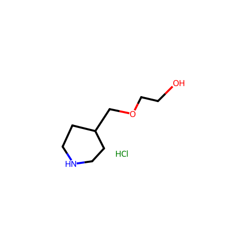 Cl.OCCOCC1CCNCC1